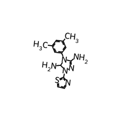 Cc1cc(C)cc(N2C(N)=NN(c3nccs3)C2N)c1